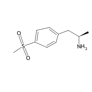 C[C@@H](N)Cc1ccc(S(C)(=O)=O)cc1